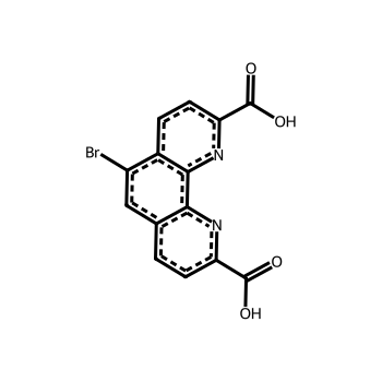 O=C(O)c1ccc2cc(Br)c3ccc(C(=O)O)nc3c2n1